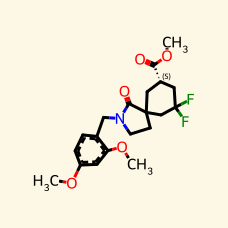 COC(=O)[C@@H]1CC(F)(F)CC2(CCN(Cc3ccc(OC)cc3OC)C2=O)C1